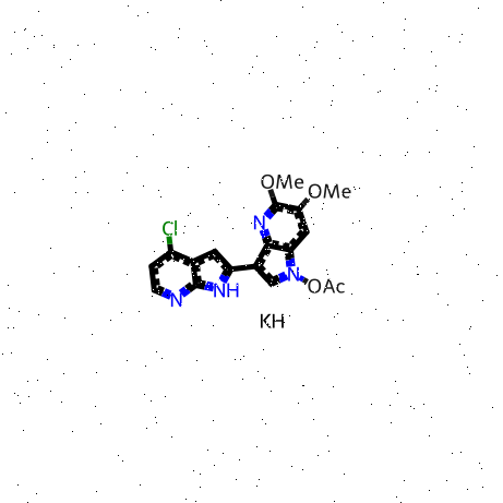 COc1cc2c(nc1OC)c(-c1cc3c(Cl)ccnc3[nH]1)cn2OC(C)=O.[KH]